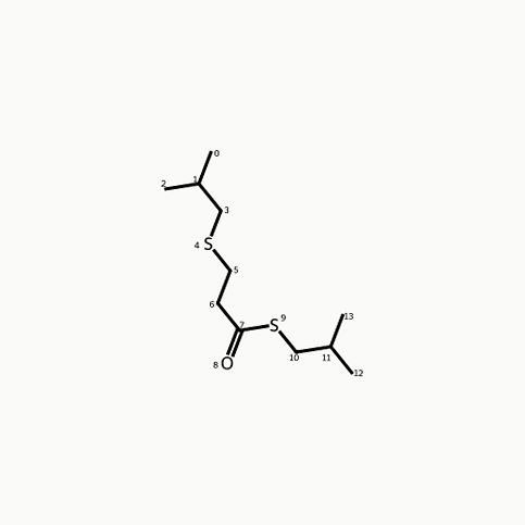 CC(C)CSCCC(=O)SCC(C)C